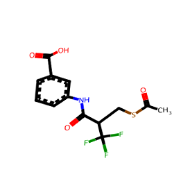 CC(=O)SCC(C(=O)Nc1cccc(C(=O)O)c1)C(F)(F)F